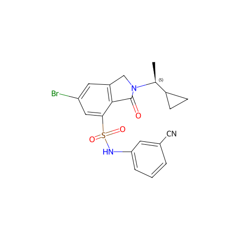 C[C@@H](C1CC1)N1Cc2cc(Br)cc(S(=O)(=O)Nc3cccc(C#N)c3)c2C1=O